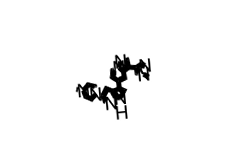 CN1CCN(c2cnc3[nH]cc(-c4ccn5ncc(-c6cnn(C)c6)c5c4)c3c2)CC1